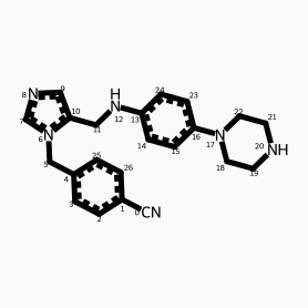 N#Cc1ccc(Cn2cncc2CNc2ccc(N3CCNCC3)cc2)cc1